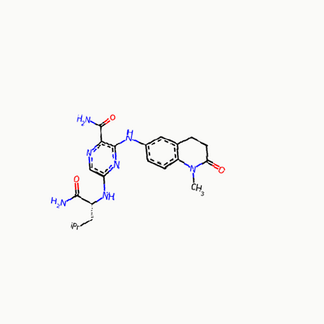 CC(C)C[C@@H](Nc1cnc(C(N)=O)c(Nc2ccc3c(c2)CCC(=O)N3C)n1)C(N)=O